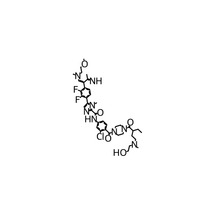 CCC(CCN(C)CCO)C(=O)N1CCN(C(=O)c2ccc(NC(=O)c3ncc(-c4ccc(/C(=C/N(C)CCOC)C(C)=N)c(F)c4F)n3C)cc2Cl)CC1